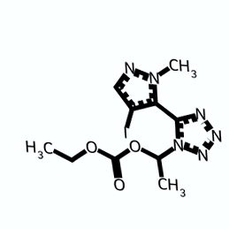 CCOC(=O)OC(C)n1nnnc1-c1c(I)cnn1C